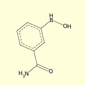 NC(=O)c1cccc(BO)c1